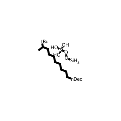 CCCCCCCCCCCCCCCCCCC(C)C(C)(C)C.O[Si](O)(O)OO[SiH3]